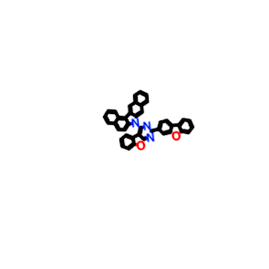 c1ccc2cc3c(cc2c1)c1c2ccccc2ccc1n3-c1nc(-c2ccc3c(c2)oc2ccccc23)nc2oc3ccccc3c12